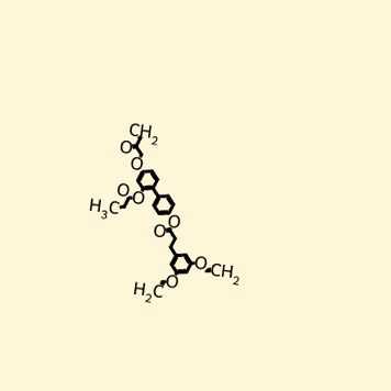 C=COc1cc(CCC(=O)Oc2ccc(-c3ccc(OCC(=O)C=C)cc3OC(=O)CC)cc2)cc(OC=C)c1